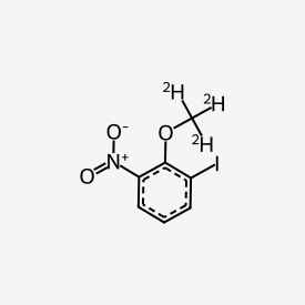 [2H]C([2H])([2H])Oc1c(I)cccc1[N+](=O)[O-]